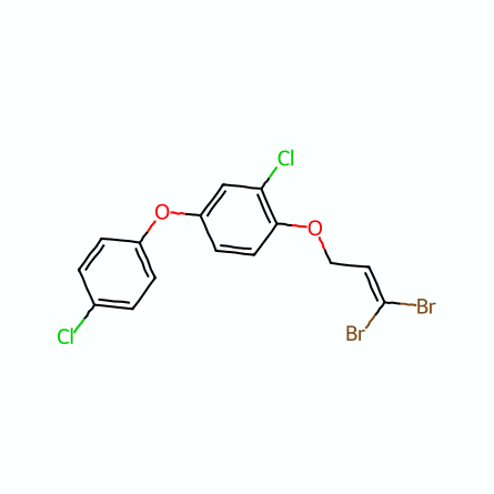 Clc1ccc(Oc2ccc(OCC=C(Br)Br)c(Cl)c2)cc1